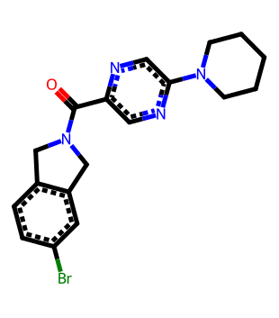 O=C(c1cnc(N2CCCCC2)cn1)N1Cc2ccc(Br)cc2C1